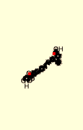 CN(CC1CN(c2ccc([C@@H]3c4ccc(O)cc4CC[C@@H]3c3ccccc3)cc2)C1)C1CCC(N2Cc3cc4c(cc3C2)C(=O)N(C2CCC(=O)NC2=O)C4=O)CC1